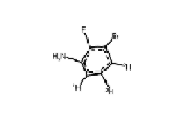 [2H]c1c([2H])c(N)c(F)c(Br)c1[2H]